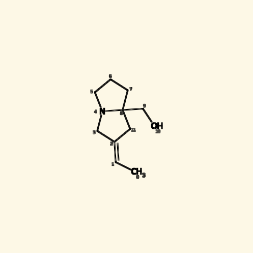 C/C=C1/CN2CCCC2(CO)C1